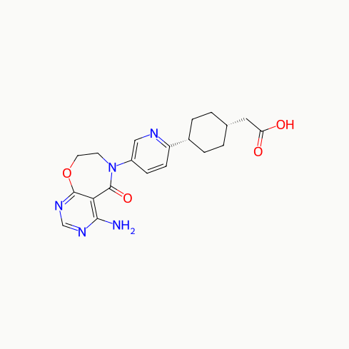 Nc1ncnc2c1C(=O)N(c1ccc([C@H]3CC[C@@H](CC(=O)O)CC3)nc1)CCO2